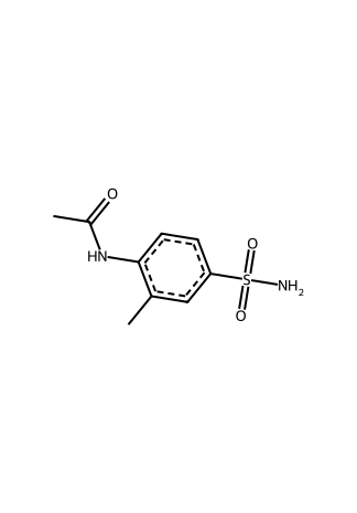 CC(=O)Nc1ccc(S(N)(=O)=O)cc1C